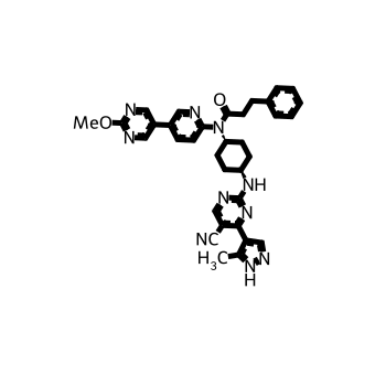 COc1ncc(-c2ccc(N(C(=O)CCc3ccccc3)[C@H]3CC[C@H](Nc4ncc(C#N)c(-c5cn[nH]c5C)n4)CC3)nc2)cn1